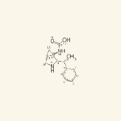 CC(c1ccccc1)C1NCC2C[C@@]21NC(=O)O